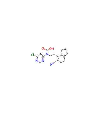 N#Cc1ccc2ccccc2c1CCN(C(=O)O)c1cc(Cl)ncn1